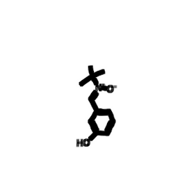 CC(C)(C)[N+]([O-])=Cc1cccc(O)c1